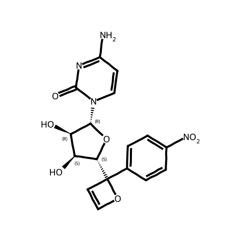 Nc1ccn([C@@H]2O[C@H](C3(c4ccc([N+](=O)[O-])cc4)C=CO3)[C@@H](O)[C@H]2O)c(=O)n1